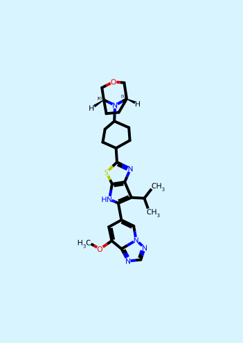 COc1cc(-c2[nH]c3sc(C4CCC(N5[C@@H]6CC[C@H]5COC6)CC4)nc3c2C(C)C)cn2ncnc12